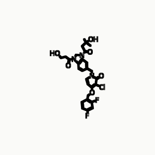 CC(C)(O)CC(=O)N1CN(C(=O)CCO)c2ccc(Cn3ccc(OCc4ccc(F)cc4F)c(Cl)c3=O)cc21